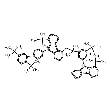 CC(C)(C)c1cc(-n2c3ccccc3c3cccc(C(C)(C)C)c32)cc(C(C)(C)Cc2cccc3c2c2cccc(C(C)(C)C)c2n3-c2ccc(-c3cc(C(C)(C)C)ccc3C(C)(C)C)cc2)c1